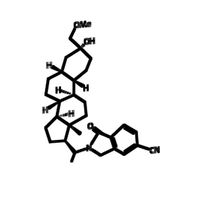 COC[C@@]1(O)CC[C@H]2[C@H](CC[C@@H]3[C@@H]2CC[C@]2(C)[C@@H](C(C)N4Cc5cc(C#N)ccc5C4=O)CC[C@@H]32)C1